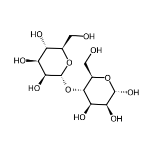 OC[C@H]1O[C@H](O[C@H]2[C@H](O)[C@H](O)[C@@H](O)O[C@@H]2CO)[C@@H](O)[C@@H](O)[C@@H]1O